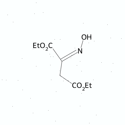 CCOC(=O)CC(=NO)C(=O)OCC